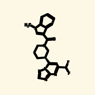 Cn1cc(C(=O)N2CCC[C@H](c3cc(C(F)F)nc4ncnn34)C2)c2ccccc21